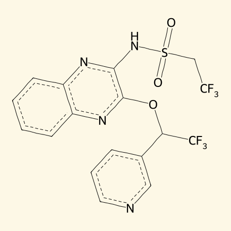 O=S(=O)(CC(F)(F)F)Nc1nc2ccccc2nc1OC(c1cccnc1)C(F)(F)F